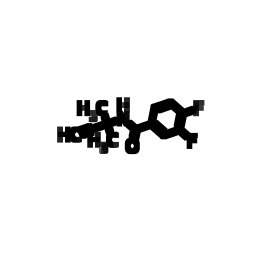 C#CC(C)(C)NC(=O)c1ccc(F)c(F)c1